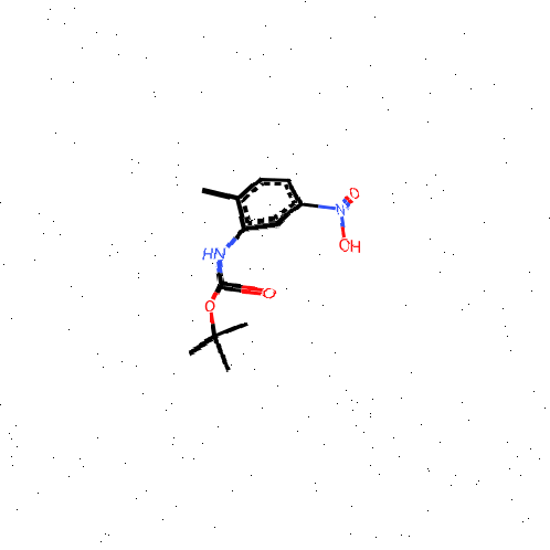 Cc1ccc([N+](=O)O)cc1NC(=O)OC(C)(C)C